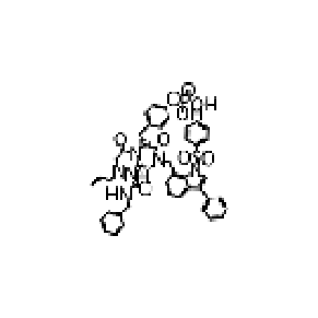 C=CCN1CC(=O)N2[C@@H](Cc3ccc(OP(=O)(O)O)cc3)C(=O)N(Cc3cccc4c(-c5ccccc5)cn(S(=O)(=O)c5ccccc5)c34)C[C@@H]2N1C(=O)NCc1ccccc1